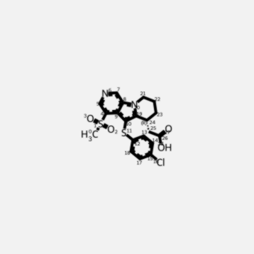 CS(=O)(=O)c1cncc2c1c(Sc1ccc(Cl)cc1)c1n2CCC[C@@H]1CC(=O)O